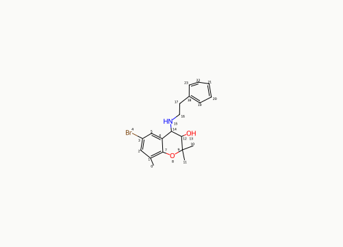 Cc1cc(Br)cc2c1OC(C)(C)C(O)C2NCCc1ccccc1